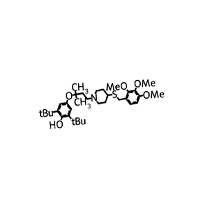 COc1ccc(CSC2CCN(CCC(C)(C)Oc3cc(C(C)(C)C)c(O)c(C(C)(C)C)c3)CC2)c(OC)c1OC